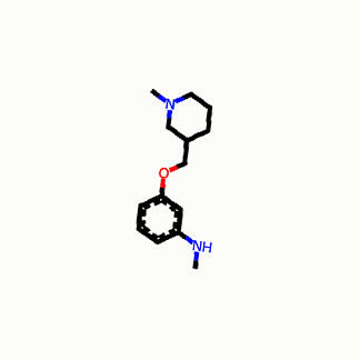 CNc1cccc(OCC2CCCN(C)C2)c1